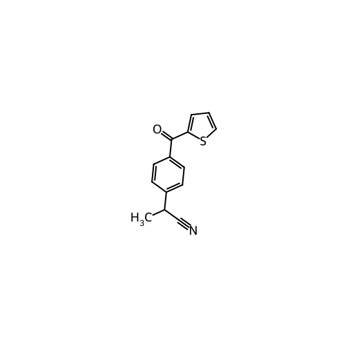 CC(C#N)c1ccc(C(=O)c2cccs2)cc1